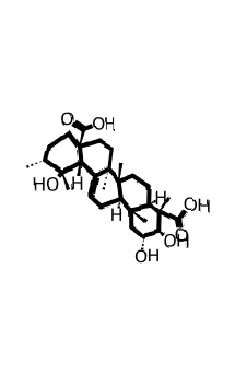 C[C@@H]1CC[C@]2(C(=O)O)CC[C@]3(C)C(=CC[C@@H]4[C@@]5(C)C[C@@H](O)[C@H](O)[C@@](C)(C(=O)O)[C@@H]5CC[C@]43C)[C@@H]2[C@]1(C)O